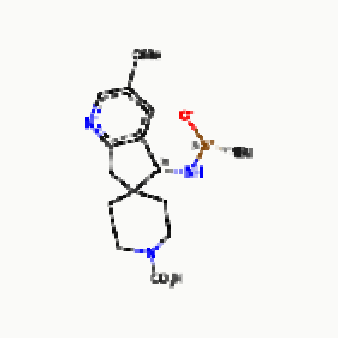 COc1cnc2c(c1)[C@H](N[S@+]([O-])C(C)(C)C)C1(CCN(C(=O)O)CC1)C2